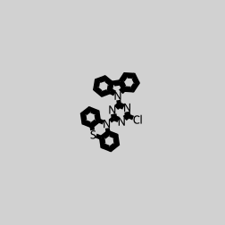 Clc1nc(N2c3ccccc3Sc3ccccc32)nc(-n2c3ccccc3c3ccccc32)n1